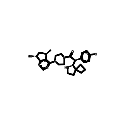 C[C@@H]1C[C@@H](O)c2ncnc(N3CCN(C(=O)[C@@H](c4ccc(Cl)cc4)[C@H]4NCCC45CCC5)CC3)c21